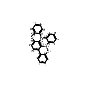 c1ccc2c(c1)SB1c3ccccc3N3c4ccccc4Sc4ccc-2c1c43